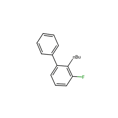 CCCCc1c(F)cccc1-c1ccccc1